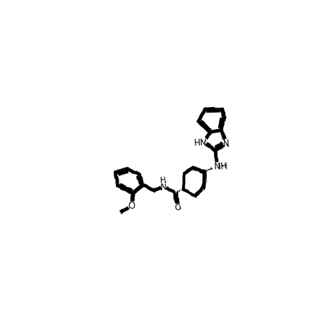 COc1ccccc1CNC(=O)[C@H]1CC[C@@H](Nc2nc3ccccc3[nH]2)CC1